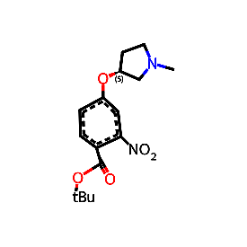 CN1CC[C@H](Oc2ccc(C(=O)OC(C)(C)C)c([N+](=O)[O-])c2)C1